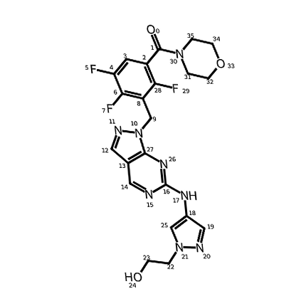 O=C(c1cc(F)c(F)c(Cn2ncc3cnc(Nc4cnn(CCO)c4)nc32)c1F)N1CCOCC1